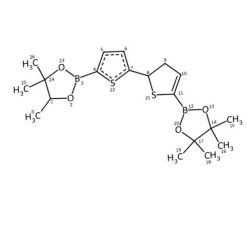 CC1OB(c2ccc(C3CC=C(B4OC(C)(C)C(C)(C)O4)S3)s2)OC1(C)C